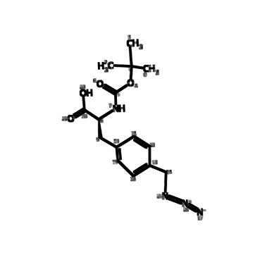 CC(C)(C)OC(=O)N[C@@H](Cc1ccc(CN=[N+]=[N-])cc1)C(=O)O